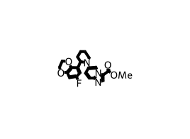 COC(=O)c1cnc2ccc(N3CCCCC3c3cc(F)cc4c3OCCO4)cn12